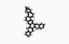 c1ccc2nc3c(cc2c1)c1cc2c(ccc4c2ccc2cc5c(nc24)C5)cc1c1nc2ccccc2cc31